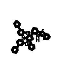 B1c2cc(-c3ccccc3)ccc2N(c2ccc(-c3ccccc3)cc2)c2c1c(-c1cccc3c1[nH]c1c4ccccc4sc31)cc1c2oc2ccccc21